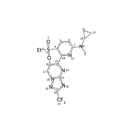 CCS(=O)(=O)c1ccc(N(C)C2CC2)nc1-c1ccn2nc(C(F)(F)F)nc2n1